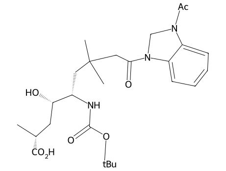 CC(=O)N1CN(C(=O)CC(C)(C)C[C@H](NC(=O)OC(C)(C)C)[C@@H](O)C[C@@H](C)C(=O)O)c2ccccc21